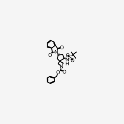 CC(C)(C)S(=O)(=O)N[C@@H]1C[C@@H](N2C(=O)c3ccccc3C2=O)CC12CN(C(=O)OCc1ccccc1)C2